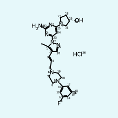 Cc1c(/C=C/CN2CCN(c3cc(F)cc(F)c3)CC2)cnn1-c1cc(N2CC[C@H](O)C2)nc(N)n1.Cl